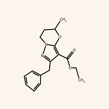 CCOC(=O)c1c(Cc2ccccc2)nn2c1OC(C)CC2